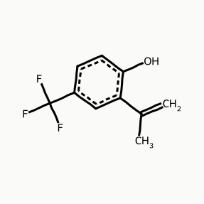 C=C(C)c1cc(C(F)(F)F)ccc1O